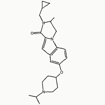 CC(C)N1CCC(Oc2ccc3c(c2)cc2n3CC(C)N(CC3CC3)C2=O)CC1